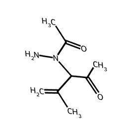 C=C(C)C(C(C)=O)N(N)C(C)=O